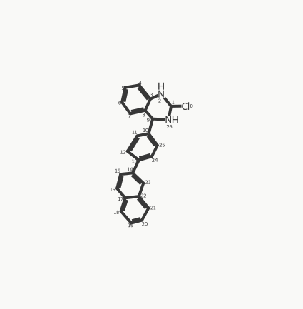 ClC1Nc2ccccc2C(c2ccc(-c3ccc4ccccc4c3)cc2)N1